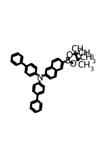 CC1(C)OB(c2ccc3cc(N(c4ccc(-c5ccccc5)cc4)c4ccc(-c5ccccc5)cc4)ccc3c2)OC1(C)C